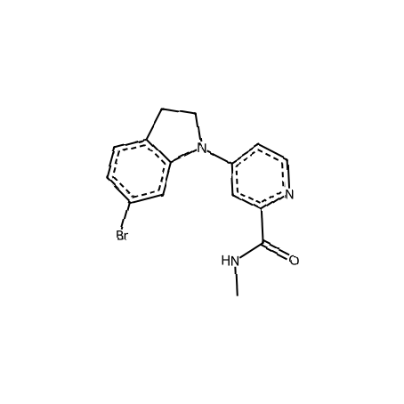 CNC(=O)c1cc(N2CCc3ccc(Br)cc32)ccn1